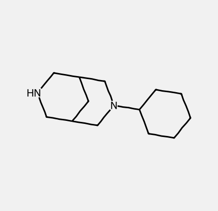 C1CCC(N2CC3CNCC(C3)C2)CC1